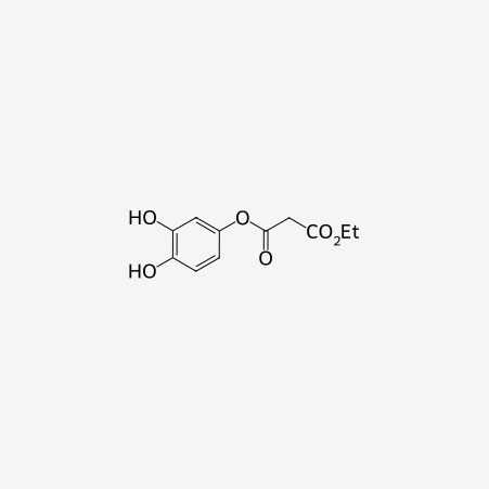 CCOC(=O)CC(=O)Oc1ccc(O)c(O)c1